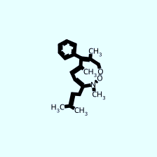 CC(C)=CC/C1=C/C=C(C)/C(c2ccccc2)=C(/C)COON1C